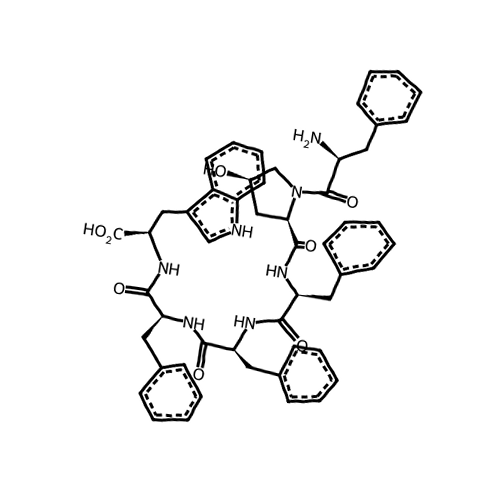 N[C@@H](Cc1ccccc1)C(=O)N1C[C@H](O)C[C@@H]1C(=O)N[C@@H](Cc1ccccc1)C(=O)N[C@@H](Cc1ccccc1)C(=O)N[C@@H](Cc1ccccc1)C(=O)N[C@H](Cc1c[nH]c2ccccc12)C(=O)O